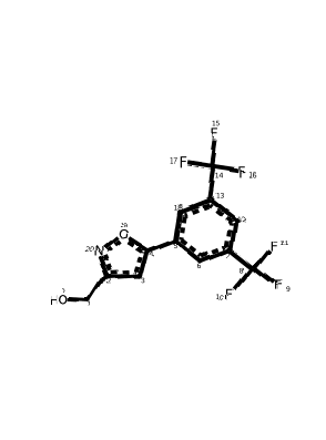 OCc1cc(-c2cc(C(F)(F)F)cc(C(F)(F)F)c2)on1